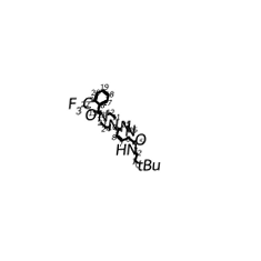 CC(C)(C)CCNC(=O)c1ccc(N2CCN(C(=O)c3ccccc3C(F)(F)F)CC2)nn1